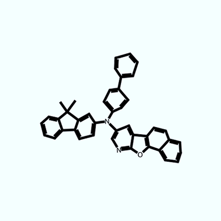 CC1(C)c2ccccc2-c2ccc(N(c3ccc(-c4ccccc4)cc3)c3cnc4oc5c6ccccc6ccc5c4c3)cc21